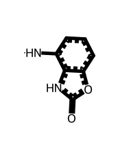 [NH]c1cccc2oc(=O)[nH]c12